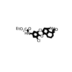 CCOC(=O)C(=O)Nc1cc(Cl)c(Oc2ccc3c4c2CCCC4(C)C(=O)N3)c(Cl)c1